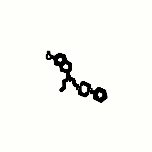 CCCN(CCN1CCN(c2ccccc2)CC1)C1CCc2ccc(OC)cc2C1